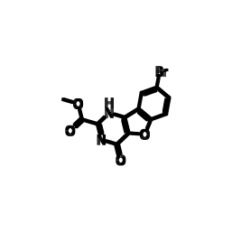 COC(=O)c1nc(=O)c2oc3ccc(Br)cc3c2[nH]1